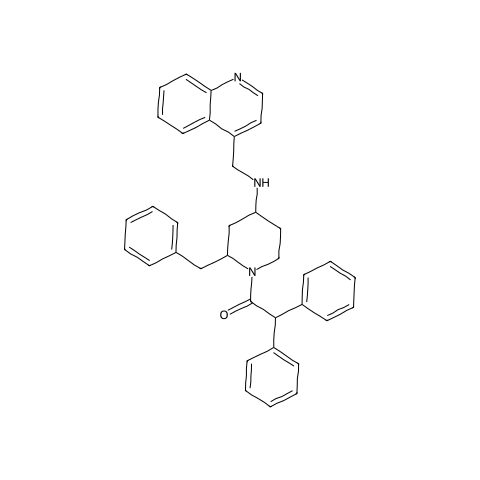 O=C(C(c1ccccc1)c1ccccc1)N1CCC(NCc2ccnc3ccccc23)CC1Cc1ccccc1